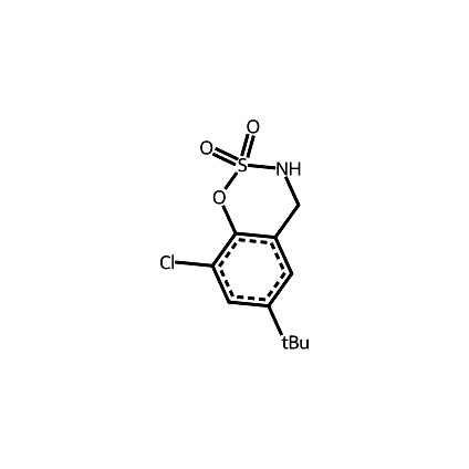 CC(C)(C)c1cc(Cl)c2c(c1)CNS(=O)(=O)O2